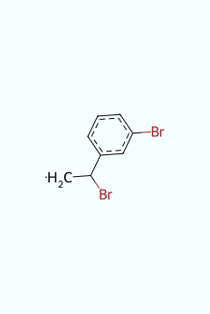 [CH2]C(Br)c1cccc(Br)c1